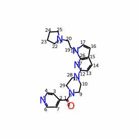 O=C(c1ccncc1)N1CCN(c2ccc3ccn(CCN4CCCC4)c3n2)CC1